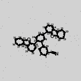 N#Cc1cccc(-c2cc(-c3cccc4c3oc3ccccc34)ccc2-c2cccc3c2oc2ccccc23)c1